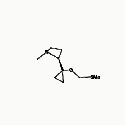 CSCOC1([C@@H]2CCN2C)CC1